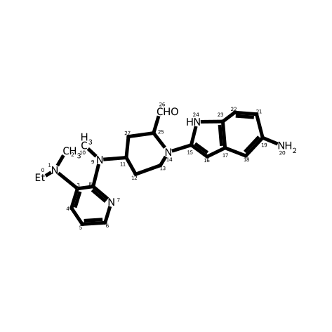 CCN(C)c1cccnc1N(C)C1CCN(c2cc3cc(N)ccc3[nH]2)C(C=O)C1